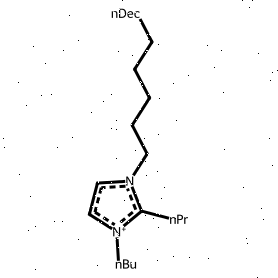 CCCCCCCCCCCCCCCn1cc[n+](CCCC)c1CCC